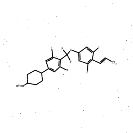 CCCCCC1CCC(c2cc(F)c(C(F)(F)Oc3cc(F)c(/C=C/C(F)(F)F)c(F)c3)c(F)c2)CC1